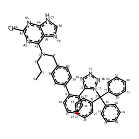 CCCN(Cc1ccc(-c2ccccc2-c2nnnn2C(c2ccccc2)(c2ccccc2)c2ccccc2)cc1)c1nc(Cl)nc2[nH]cnc12